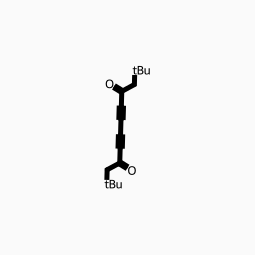 CC(C)(C)CC(=O)C#CC#CC(=O)CC(C)(C)C